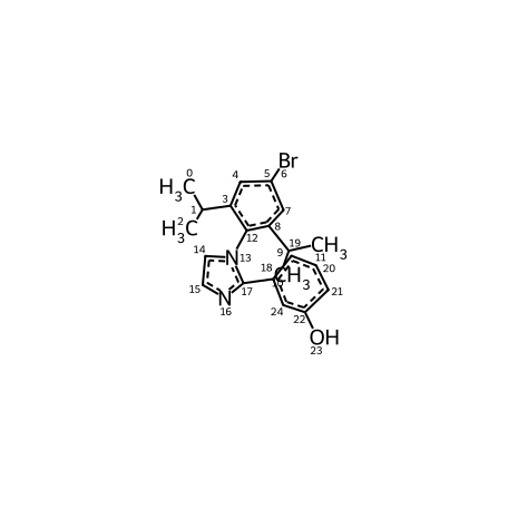 CC(C)c1cc(Br)cc(C(C)C)c1-n1ccnc1-c1cccc(O)c1